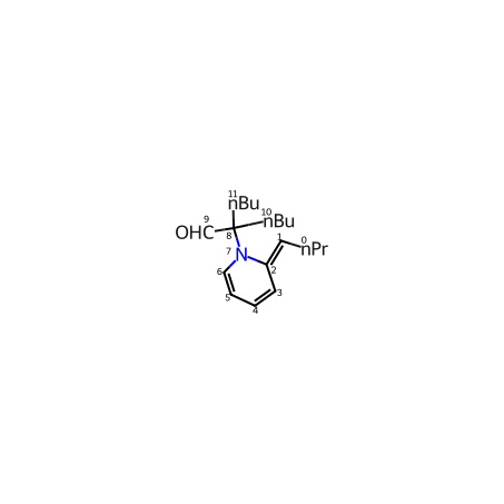 CCC/C=C1\C=CC=CN1C(C=O)(CCCC)CCCC